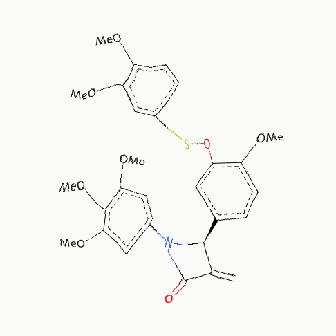 C=C1C(=O)N(c2cc(OC)c(OC)c(OC)c2)[C@H]1c1ccc(OC)c(OSc2ccc(OC)c(OC)c2)c1